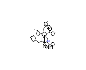 CCOc1[nH]c(/C=C2/C(=O)NN=C2CCc2ccccc2)c(C(=O)OC)c1CC(=O)OC